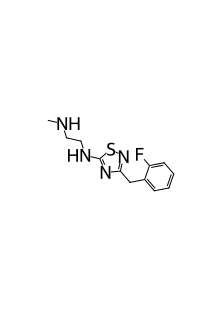 CNCCNc1nc(Cc2ccccc2F)ns1